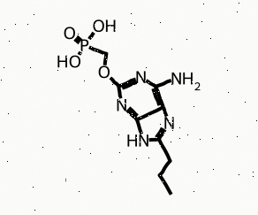 CCCc1nc2c(N)nc(OCP(=O)(O)O)nc2[nH]1